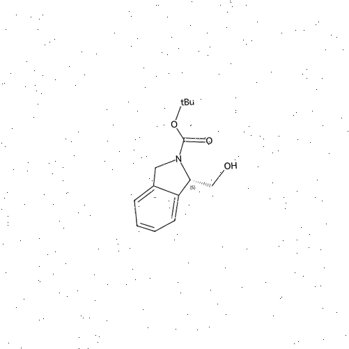 CC(C)(C)OC(=O)N1Cc2ccccc2[C@H]1CO